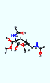 CCOC(=O)C(CC#CCNC(C)=O)(NC(C)=O)C(=O)OCC